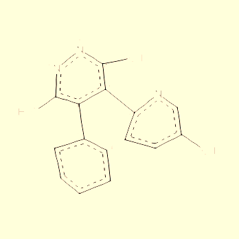 Cc1ccc(-c2c(C)nnc(C)c2-c2ccccc2)nc1